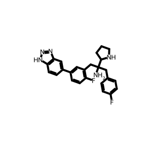 NC(Cc1ccc(F)cc1)(Cc1cc(-c2ccc3[nH]nnc3c2)ccc1F)C1CCCN1